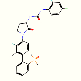 CP(C)(=O)c1ccccc1-c1ccc(N2CC[C@@H](NC(=O)Nc3ccc(Cl)cc3F)C2=O)c(F)c1C(F)(F)F